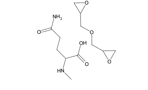 C(OCC1CO1)C1CO1.CNC(CCC(N)=O)C(=O)O